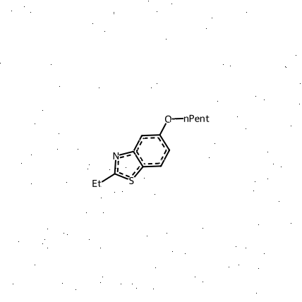 [CH2]CCCCOc1ccc2sc(CC)nc2c1